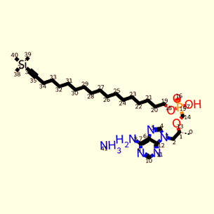 C[C@H](Cn1cnc2c(N)ncnc21)OCP(=O)(O)OCCCCCCCCCCCCCCCCC#C[Si](C)(C)C.N